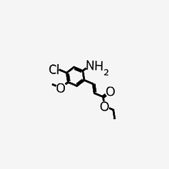 CCOC(=O)C=Cc1cc(OC)c(Cl)cc1N